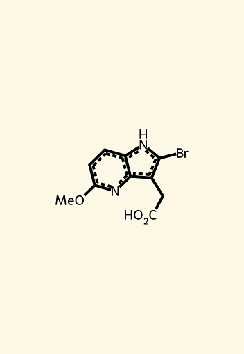 COc1ccc2[nH]c(Br)c(CC(=O)O)c2n1